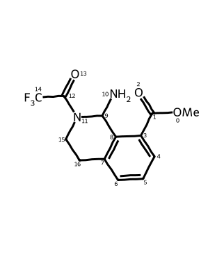 COC(=O)c1cccc2c1C(N)N(C(=O)C(F)(F)F)CC2